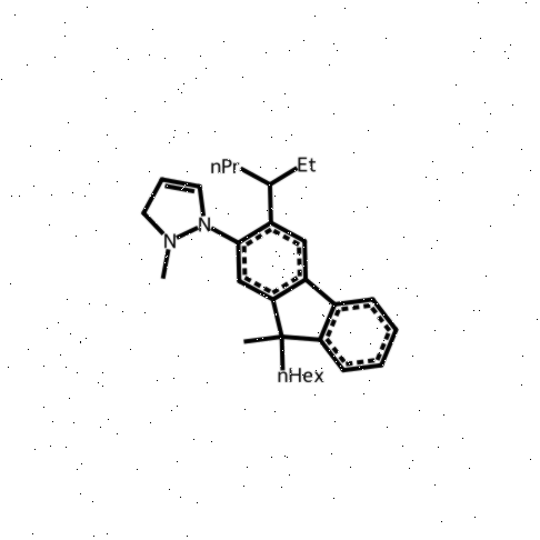 CCCCCCC1(C)c2ccccc2-c2cc(C(CC)CCC)c(N3C=CCN3C)cc21